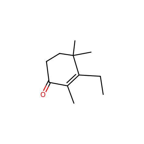 CCC1=C(C)C(=O)CCC1(C)C